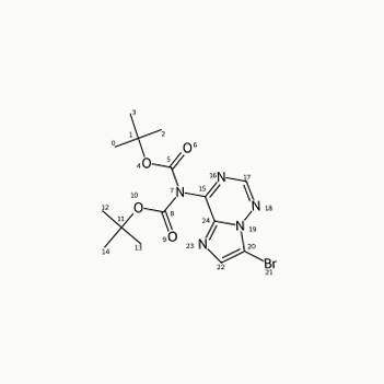 CC(C)(C)OC(=O)N(C(=O)OC(C)(C)C)c1ncnn2c(Br)cnc12